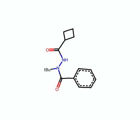 CC(C)(C)N(NC(=O)C1CCC1)C(=O)c1ccccc1